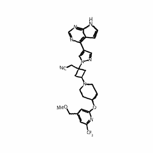 COCc1cc(OC2CCN(C3CC(CC#N)(n4cc(-c5ncnc6[nH]ccc56)cn4)C3)CC2)nc(C(F)(F)F)c1